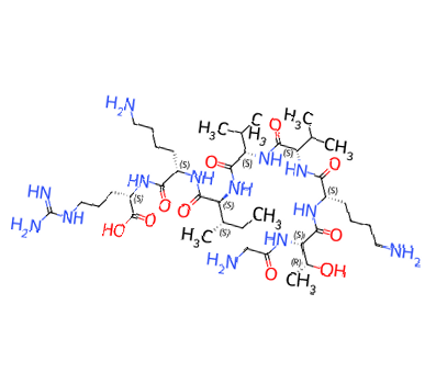 CC[C@H](C)[C@H](NC(=O)[C@@H](NC(=O)[C@@H](NC(=O)[C@H](CCCCN)NC(=O)[C@@H](NC(=O)CN)[C@@H](C)O)C(C)C)C(C)C)C(=O)N[C@@H](CCCCN)C(=O)N[C@@H](CCCNC(=N)N)C(=O)O